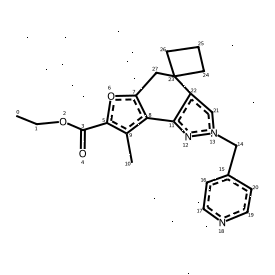 CCOC(=O)c1oc2c(c1C)-c1nn(Cc3ccncc3)cc1C1(CCC1)C2